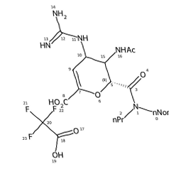 CCCCCCCCCN(CCC)C(=O)[C@@H]1OC(C(=O)O)=CC(NC(=N)N)C1NC(C)=O.O=C(O)C(F)(F)F